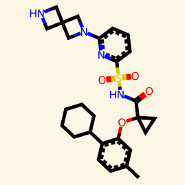 Cc1ccc(C2CCCCC2)c(OC2(C(=O)NS(=O)(=O)c3cccc(N4CC5(CNC5)C4)n3)CC2)c1